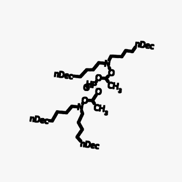 CCCCCCCCCCCCCCN(CCCCCCCCCCCCCC)OC(C)O[PH](=O)OC(C)ON(CCCCCCCCCCCCCC)CCCCCCCCCCCCCC